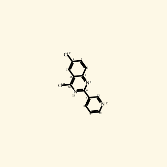 Clc1ccc2nc(-c3cccnc3)nc(Cl)c2c1